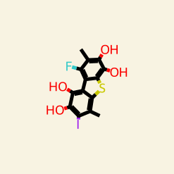 Cc1c(O)c(O)c2sc3c(C)c(I)c(O)c(O)c3c2c1F